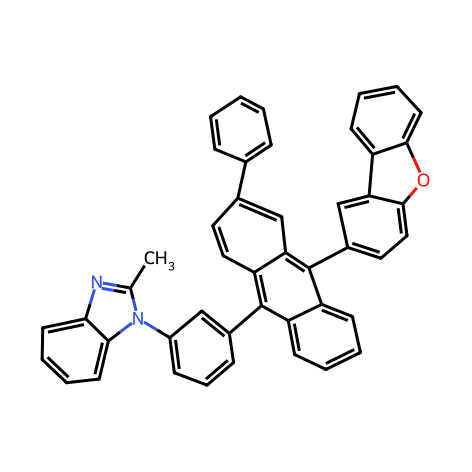 Cc1nc2ccccc2n1-c1cccc(-c2c3ccccc3c(-c3ccc4oc5ccccc5c4c3)c3cc(-c4ccccc4)ccc23)c1